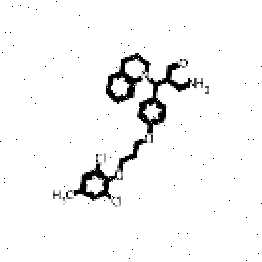 Cc1cc(Cl)c(OCCCOc2ccc(C(C(C=O)CN)N3CCCc4ccccc43)cc2)c(Cl)c1